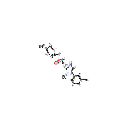 CCn1c(-c2cccc(C)c2)cnc1CCC(=O)Cc1ccc(C(C)C)cc1